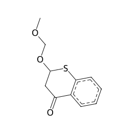 COCOC1CC(=O)c2ccccc2S1